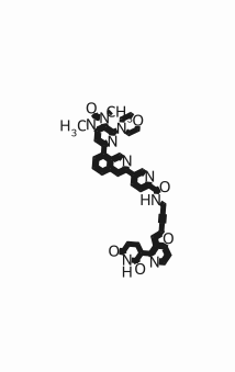 Cn1c(=O)n(C)c2c(N3CCOCC3)nc(-c3cccc4cc(-c5ccc(C(=O)NCC#Cc6cc7c(C8CCC(=O)NC8=O)nccc7o6)nc5)ncc34)cc21